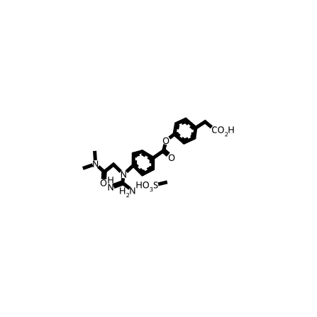 CN(C)C(=O)CN(C(=N)N)c1ccc(C(=O)Oc2ccc(CC(=O)O)cc2)cc1.CS(=O)(=O)O